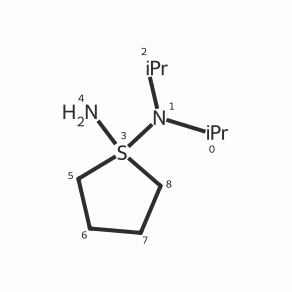 CC(C)N(C(C)C)S1(N)CCCC1